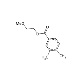 COCCOC(=O)c1ccc(C)c(C)c1